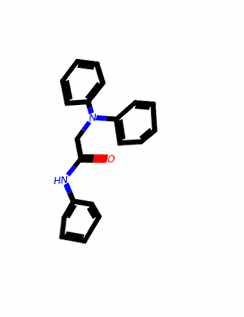 O=C(CN(c1ccccc1)c1ccccc1)Nc1ccccc1